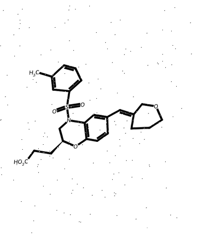 Cc1cccc(S(=O)(=O)N2C[C@H](CCC(=O)O)Oc3ccc(/C=C4\CCCOC4)cc32)c1